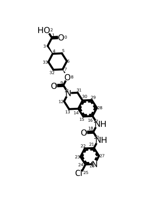 O=C(O)C[C@H]1CC[C@H](OC(=O)N2CCc3cc(NC(=O)Nc4ccc(Cl)nc4)ccc3C2)CC1